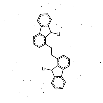 [Li][CH]1c2ccccc2-c2cccc(CCc3cccc4c3[CH]([Li])c3ccccc3-4)c21